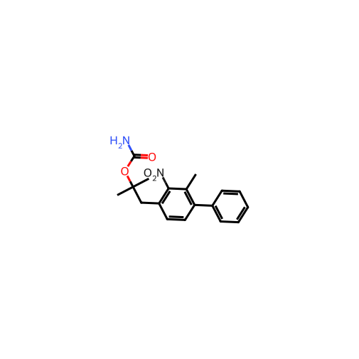 Cc1c(-c2ccccc2)ccc(CC(C)(C)OC(N)=O)c1[N+](=O)[O-]